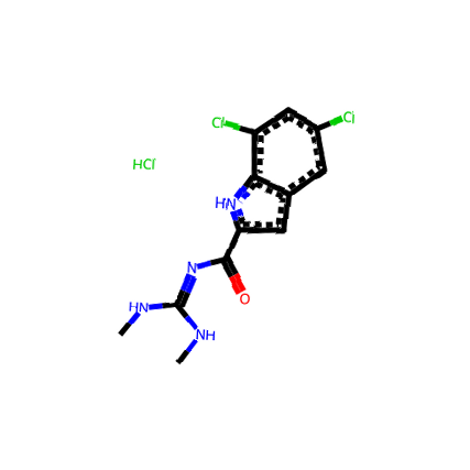 CNC(=NC(=O)c1cc2cc(Cl)cc(Cl)c2[nH]1)NC.Cl